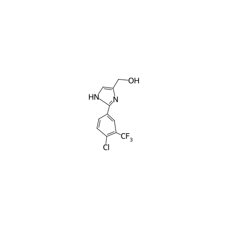 OCc1c[nH]c(-c2ccc(Cl)c(C(F)(F)F)c2)n1